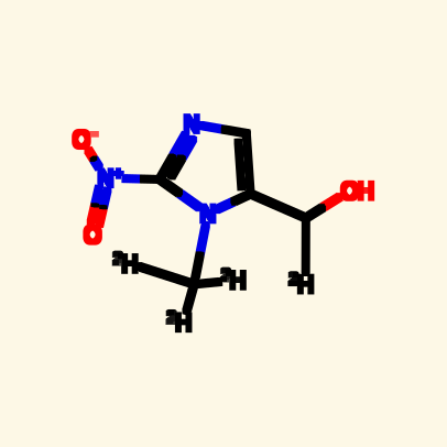 [2H]C(O)c1cnc([N+](=O)[O-])n1C([2H])([2H])[2H]